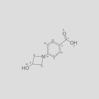 O=C(O)c1ccc(N2CC(O)C2)cc1